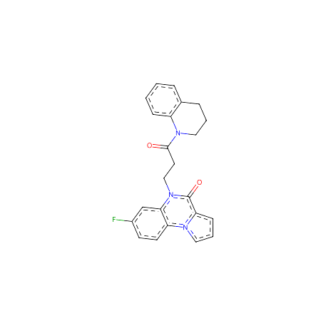 O=C(CCn1c(=O)c2cccn2c2ccc(F)cc21)N1CCCc2ccccc21